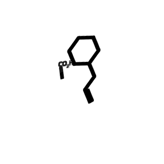 C=CCC1CCCCC1.CC(=O)O